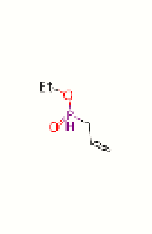 C=CC[PH](=O)OCC